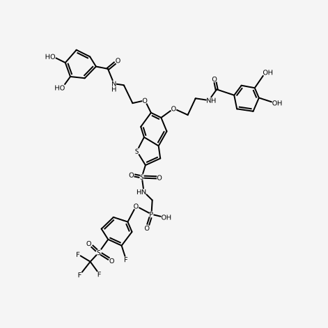 O=C(NCCOc1cc2cc(S(=O)(=O)NCP(=O)(O)Oc3ccc(S(=O)(=O)C(F)(F)F)c(F)c3)sc2cc1OCCNC(=O)c1ccc(O)c(O)c1)c1ccc(O)c(O)c1